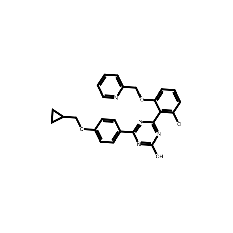 Oc1nc(-c2ccc(OCC3CC3)cc2)nc(-c2c(Cl)cccc2OCc2ccccn2)n1